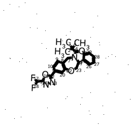 CC(C)(C)C(=O)N1Cc2ccc(-c3nnc(C(F)F)o3)cc2OC[C@@H]1c1ccccc1